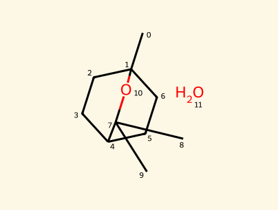 CC12CCC(CC1)C(C)(C)O2.O